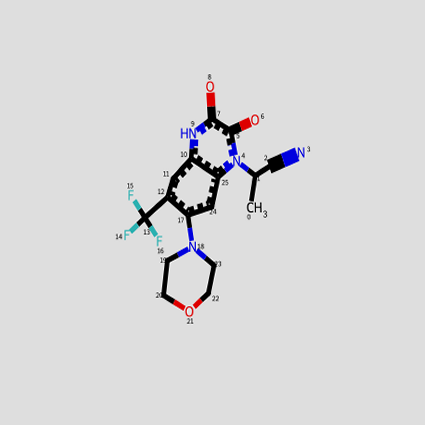 CC(C#N)n1c(=O)c(=O)[nH]c2cc(C(F)(F)F)c(N3CCOCC3)cc21